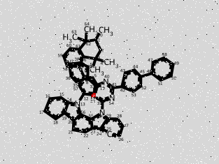 CC1CC(C)(C)c2c(-c3cccc(-n4c5ccccc5c5ccc6c7ccccc7n(-c7nc(-c8ccccc8)nc(-c8ccc(-c9ccccc9)cc8)n7)c6c54)c3)cccc2C1(C)C